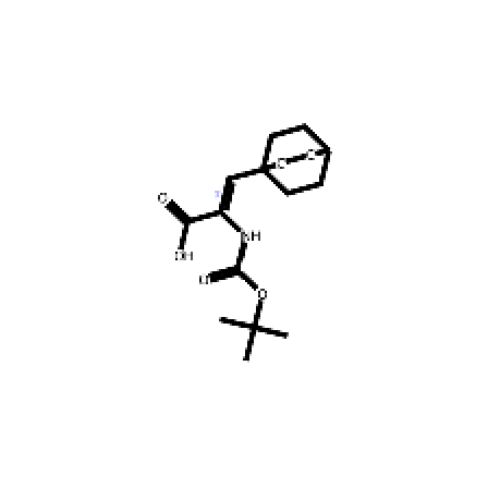 CC(C)(C)OC(=O)N/C(=C\C12CCC(CC1)CC2)C(=O)O